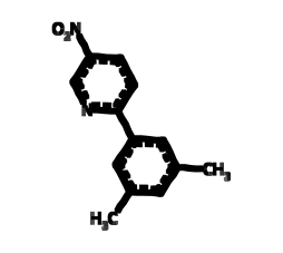 Cc1cc(C)cc(-c2ccc([N+](=O)[O-])cn2)c1